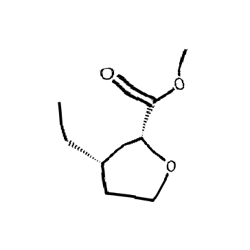 CC[C@H]1CCO[C@H]1C(=O)OC